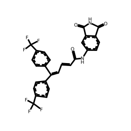 O=C(C=CC=C(c1ccc(C(F)(F)F)cc1)c1ccc(C(F)(F)F)cc1)Nc1ccc2c(c1)C(=O)NC2=O